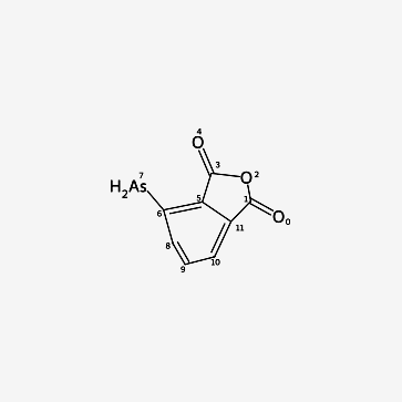 O=C1OC(=O)c2c([AsH2])cccc21